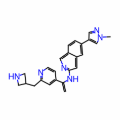 C=C(Nc1cc2cc(-c3cnn(C)c3)ccc2cn1)c1ccnc(CC2CNC2)c1